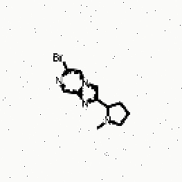 CN1CCCC1c1cn2cc(Br)ncc2n1